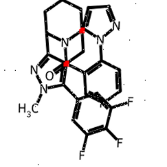 Cn1nc2c(c1-c1cc(F)c(F)c(F)c1)CC1CCCC2N1C(=O)c1cnccc1-n1cccn1